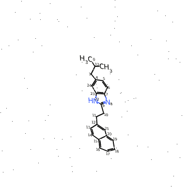 CC(C)Cc1ccc2nc(CCc3ccc4ccccc4c3)[nH]c2c1